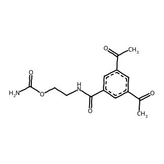 CC(=O)c1cc(C(C)=O)cc(C(=O)NCCOC(N)=O)c1